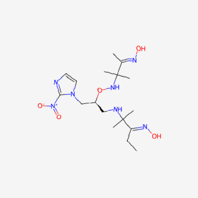 CCC(=NO)C(C)(C)NC[C@@H](Cn1ccnc1[N+](=O)[O-])ONC(C)(C)C(C)=NO